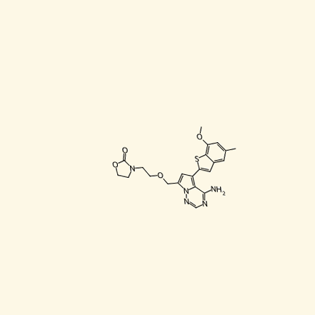 COc1cc(C)cc2cc(-c3cc(COCCN4CCOC4=O)n4ncnc(N)c34)sc12